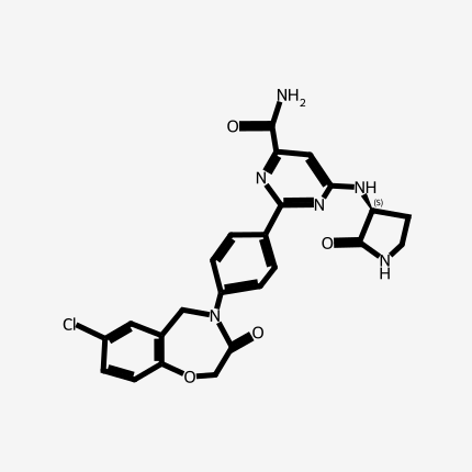 NC(=O)c1cc(N[C@H]2CCNC2=O)nc(-c2ccc(N3Cc4cc(Cl)ccc4OCC3=O)cc2)n1